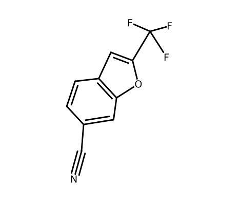 N#Cc1ccc2cc(C(F)(F)F)oc2c1